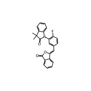 CC1(C)C(=O)N(c2cc(C=C3OC(=O)c4ccccc43)ccc2F)c2ccccc21